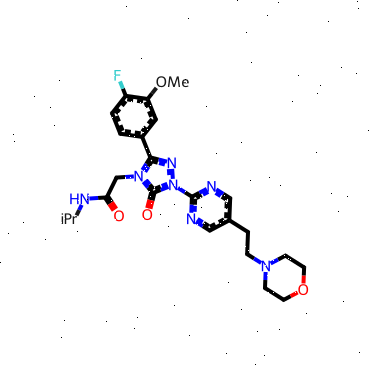 COc1cc(-c2nn(-c3ncc(CCN4CCOCC4)cn3)c(=O)n2CC(=O)NC(C)C)ccc1F